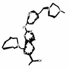 CC(O)c1cc2cnc(Nc3ccc(CN4CCN(C)CC4)cn3)nc2c(N2CCCCC2)n1